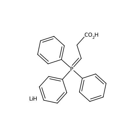 O=C(O)CC=P(c1ccccc1)(c1ccccc1)c1ccccc1.[LiH]